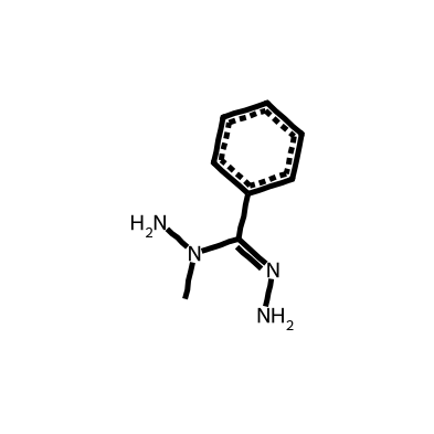 CN(N)C(=NN)c1ccccc1